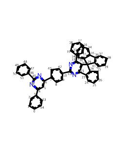 c1ccc(-c2cc(-c3ccc(-c4nc(-c5ccccc5)c5c(n4)-c4ccccc4C54c5ccccc5-c5ccccc54)cc3)nc(-c3ccccc3)n2)cc1